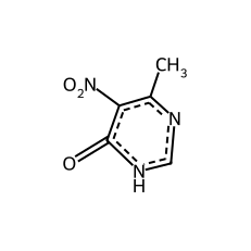 Cc1nc[nH]c(=O)c1[N+](=O)[O-]